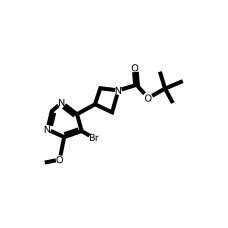 COc1ncnc(C2CN(C(=O)OC(C)(C)C)C2)c1Br